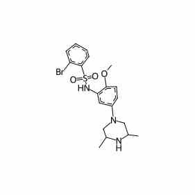 COc1ccc(N2CC(C)NC(C)C2)cc1NS(=O)(=O)c1ccccc1Br